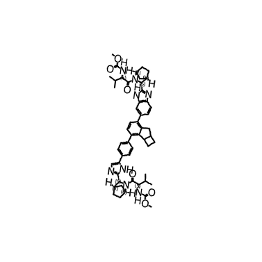 COC(=O)N[C@H](C(=O)N1[C@@H]2CC[C@@H](C2)[C@H]1c1ncc(-c2ccc(-c3ccc(-c4ccc5nc([C@@H]6[C@H]7CC[C@H](C7)N6C(=O)[C@@H](NC(=O)OC)C(C)C)[nH]c5c4)c4c3C3CCC3C4)cc2)[nH]1)C(C)C